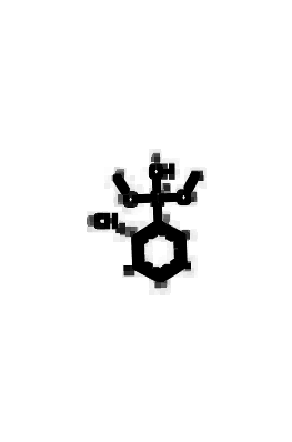 C.CO[Si](O)(OC)c1ccccc1